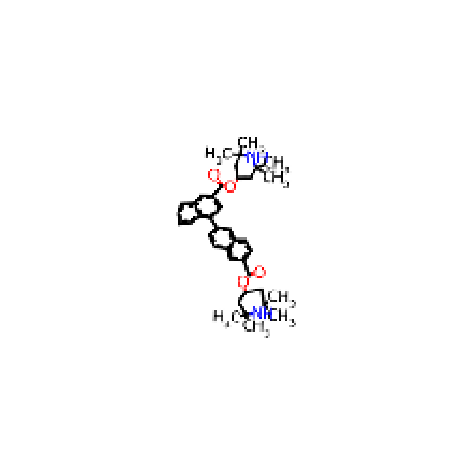 CC1(C)CC(OC(=O)c2ccc3cc(-c4cc(C(=O)OC5CC(C)(C)NC(C)(C)C5)cc5ccccc45)ccc3c2)CC(C)(C)N1